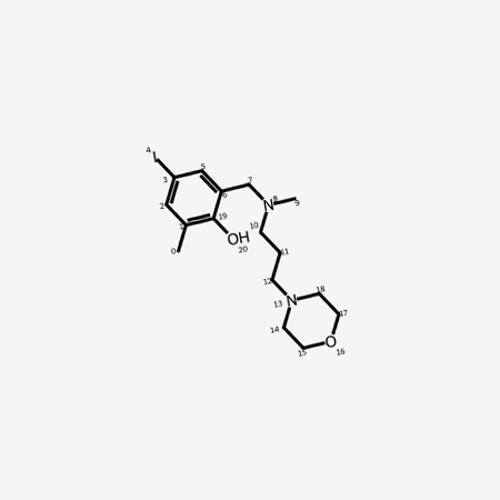 Cc1cc(I)cc(CN(C)CCCN2CCOCC2)c1O